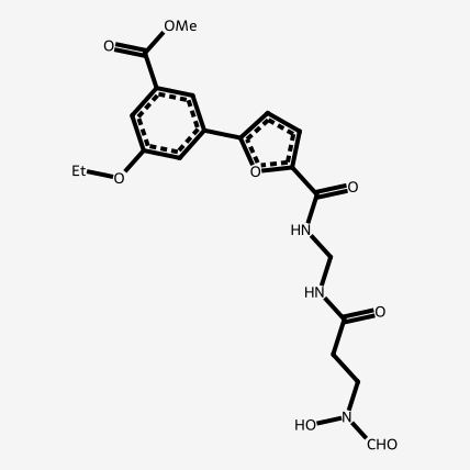 CCOc1cc(C(=O)OC)cc(-c2ccc(C(=O)NCNC(=O)CCN(O)C=O)o2)c1